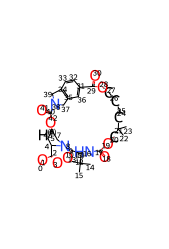 COC(=O)C1C[C@@H]2CN1C(=O)[C@H](C(C)(C)C)NC(=O)OCC(C)(C)CCCCOC(=O)c1ccc3c(c1)CN(C3)C(=O)O2